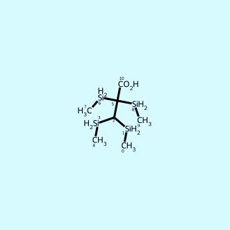 C[SiH2]C([SiH2]C)C([SiH2]C)([SiH2]C)C(=O)O